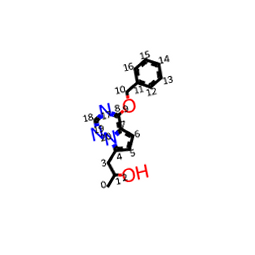 CC(O)Cc1ccc2c(OCc3ccccc3)ncnn12